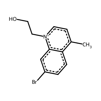 Cc1cc[n+](CCO)c2cc(Br)ccc12